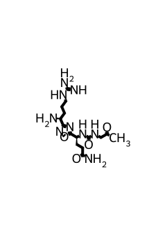 CC(=O)CNC(=O)N[C@@H](CCC(N)=O)c1nc([C@@H](N)CCCNC(=N)N)no1